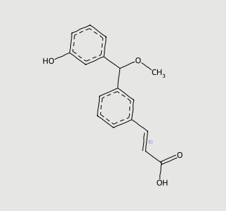 COC(c1cccc(O)c1)c1cccc(/C=C/C(=O)O)c1